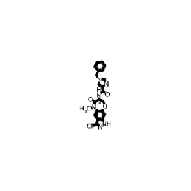 CN1C(=O)[C@@H](NC(=O)C2CN(Cc3ccccc3)C=N2)COc2cc3[nH]nc(Cl)c3cc21